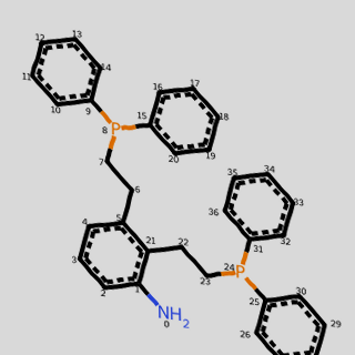 Nc1cccc(CCP(c2ccccc2)c2ccccc2)c1CCP(c1ccccc1)c1ccccc1